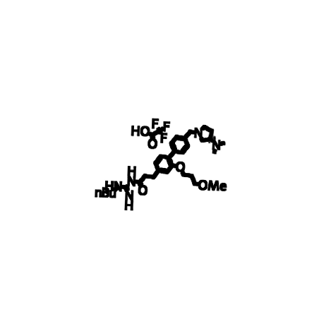 CCCCNC(=N)NC(=O)CCc1ccc(-c2ccc(CN3CC[C@@H](N(C)C)C3)cc2)c(OCCCOC)c1.O=C(O)C(F)(F)F